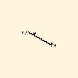 CCCCCC(=O)CCCCCC=CC=CC=CC=CC(=O)O